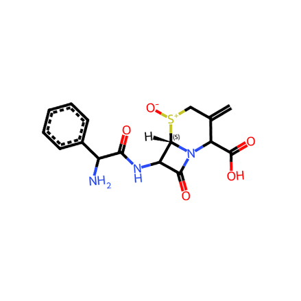 C=C1C[S+]([O-])[C@H]2C(NC(=O)C(N)c3ccccc3)C(=O)N2C1C(=O)O